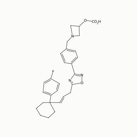 O=C(O)OC1CN(Cc2ccc(-c3noc(C/C=C/C4(c5ccc(F)cc5)CCCCC4)n3)cc2)C1